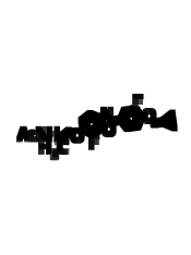 CC(=O)N[C@@H](C)COc1ccc2nc(-c3ccc(OCC4CC4)c(F)c3)oc2c1F